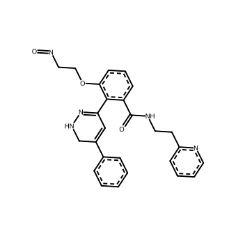 O=NCCOc1cccc(C(=O)NCCc2ccccn2)c1C1=NNCC(c2ccccc2)=C1